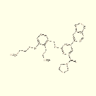 O=C(O)CCCOc1cccc(COc2cc(C(=O)N3CCCC3)cc(-c3ccc4c(c3)OCO4)c2)c1CCC(=O)O